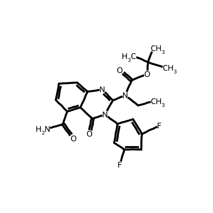 CCN(C(=O)OC(C)(C)C)c1nc2cccc(C(N)=O)c2c(=O)n1-c1cc(F)cc(F)c1